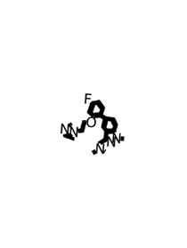 CN(C)Cc1nn(C)c2ccc(-c3ccc(F)cc3OCCn3ccnc3)cc12